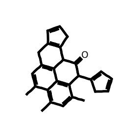 Cc1cc(C)c2c(C)cc3c4c2c1C(C1=CC=CC1)C(=O)C4C1=C(C=CC1)C3